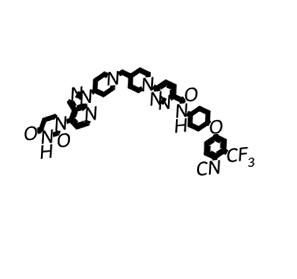 N#Cc1ccc(OC2CCC(NC(=O)c3ccc(N4CCC(CN5CCC(n6ncc7c(N8CCC(=O)NC8=O)ccnc76)CC5)CC4)nn3)CC2)cc1C(F)(F)F